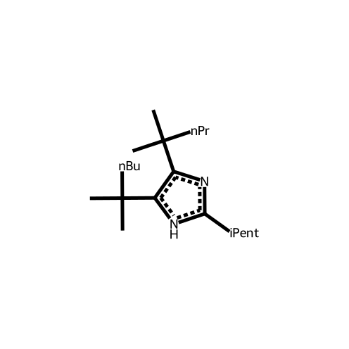 CCCCC(C)(C)c1[nH]c(C(C)CCC)nc1C(C)(C)CCC